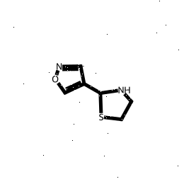 [c]1nocc1C1NCCS1